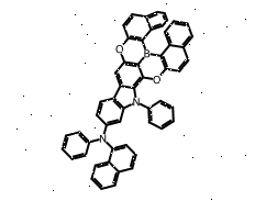 c1ccc(N(c2ccc3c4cc5c6c(c4n(-c4ccccc4)c3c2)Oc2ccc3ccccc3c2B6c2c(ccc3ccccc23)O5)c2cccc3ccccc23)cc1